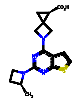 C[C@H]1CCN1c1nc(N2CC3(C[C@H]3C(=O)O)C2)c2ccsc2n1